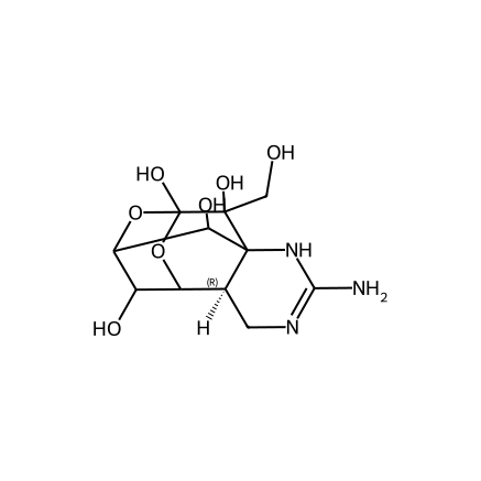 NC1=NC[C@H]2C3OC4(O)OC(C3O)C(O)C2(N1)C4(O)CO